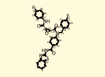 O=C(Nc1nc2ccccc2s1)c1ccc(N(Cc2ccc(F)cc2)C(=O)[C@H]2O[C@@H]2C(=O)Nc2ccc(F)cc2)cc1